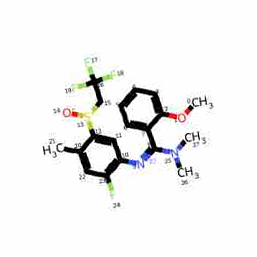 COc1ccccc1/C(=N\c1cc([S+]([O-])CC(F)(F)F)c(C)cc1F)N(C)C